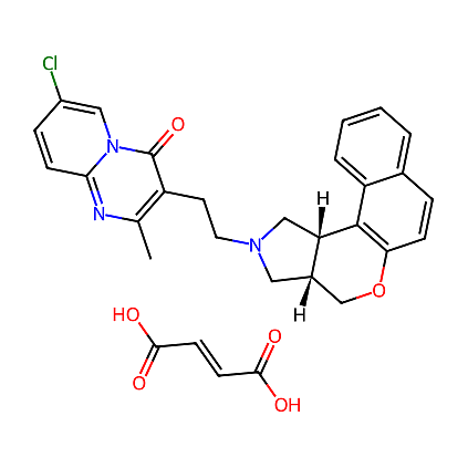 Cc1nc2ccc(Cl)cn2c(=O)c1CCN1C[C@H]2COc3ccc4ccccc4c3[C@H]2C1.O=C(O)/C=C/C(=O)O